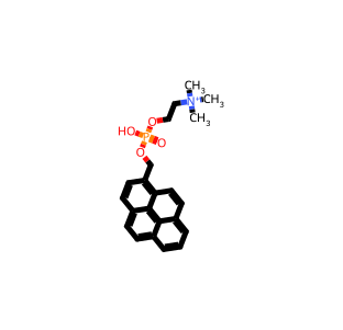 C[N+](C)(C)CCOP(=O)(O)OCc1ccc2ccc3cccc4ccc1c2c34